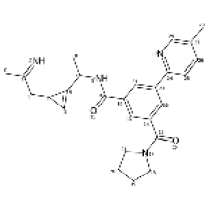 CC(=N)CC1C=C1C(C)NC(=O)c1cc(C(=O)N2CCCC2)cc(-c2ccc(C)cn2)c1